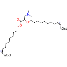 CCCCCCCC/C=C\CCCCCCCCOC(=O)C(CN(C)C)OCCCCCCCC/C=C\CCCCCCCC